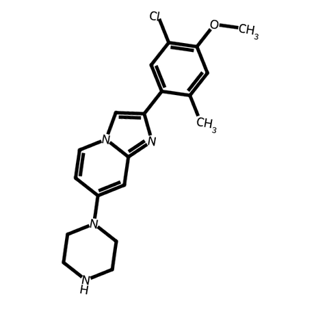 COc1cc(C)c(-c2cn3ccc(N4CCNCC4)cc3n2)cc1Cl